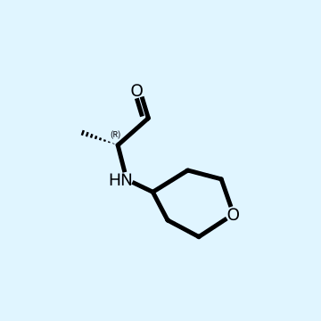 C[C@H](C=O)NC1CCOCC1